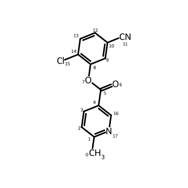 Cc1ccc(C(=O)Oc2cc(C#N)ccc2Cl)cn1